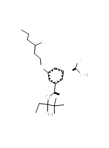 CCCC(Br)CCOc1cccc(C(=O)NC(N)(CC)C(C)(C)C)c1.O=C(O)O